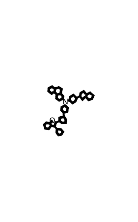 c1ccc(-c2c(-c3cccc(-c4ccc(N(c5ccc(-c6ccc7ccccc7c6)cc5)c5ccc6c(ccc7ccccc76)c5)cc4)c3)oc3ccccc23)cc1